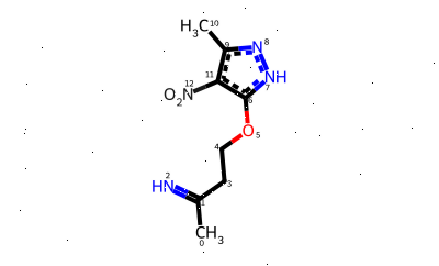 CC(=N)CCOc1[nH]nc(C)c1[N+](=O)[O-]